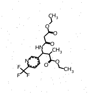 CCOC(=O)CC(=O)NC(c1ccc(C(F)(F)F)nc1)C(C)C(=O)OCC